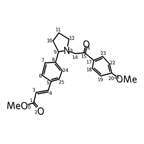 COC(=O)/C=C/c1ccc(C2CCCN2CC(=O)c2ccc(OC)cc2)cc1